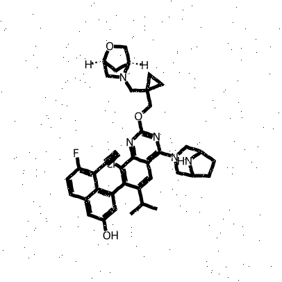 C#Cc1c(F)ccc2cc(O)cc(-c3c(C(C)C)cc4c(N5CC6CCC(C5)N6)nc(OCC5(CN6C[C@@H]7C[C@H]6CO7)CC5)nc4c3Cl)c12